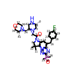 C[C@@H]1CN(CC(=O)N2CC(C)(C)c3c2cc(Cc2ccc(F)cc2)c2nc(P(C)(C)=O)nn32)[C@@H](CN2CCOC[C@H]2C)CN1